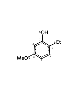 [CH2]Cc1ccc(OC)cc1O